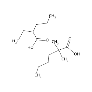 CCCC(CC)C(=O)O.CCCCC(C)(C)C(=O)O